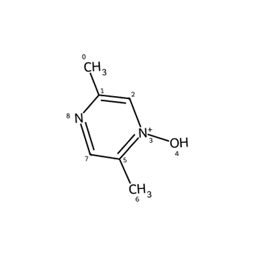 Cc1c[n+](O)c(C)cn1